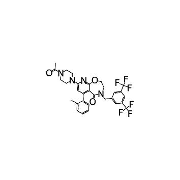 CC(=O)N1CCN(c2cc(-c3ccccc3C)c3c(n2)OCCN(Cc2cc(C(F)(F)F)cc(C(F)(F)F)c2)C3=O)CC1